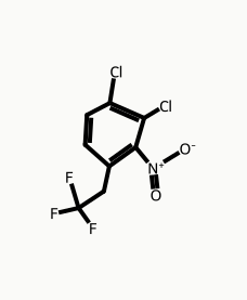 O=[N+]([O-])c1c(CC(F)(F)F)ccc(Cl)c1Cl